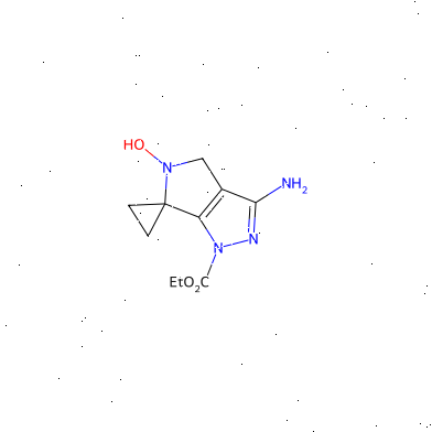 CCOC(=O)n1nc(N)c2c1C1(CC1)N(O)C2